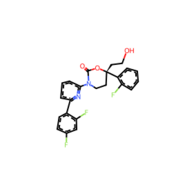 O=C1O[C@](CCO)(c2ccccc2F)CCN1c1cccc(-c2ccc(F)cc2F)n1